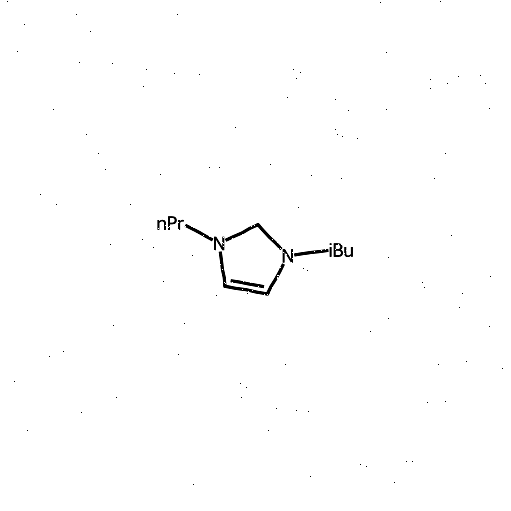 CCCN1C=CN(C(C)CC)C1